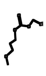 COCCCOC(=O)OCCl